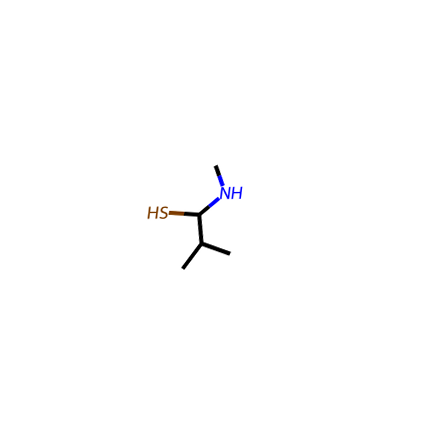 CNC(S)C(C)C